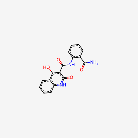 NC(=O)c1ccccc1NC(=O)c1c(O)c2ccccc2[nH]c1=O